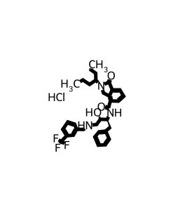 CCCC(CCC)N1Cc2c(C(=O)N[C@@H](Cc3ccccc3)[C@H](O)CNCc3cccc(C(F)(F)F)c3)cccc2C1=O.Cl